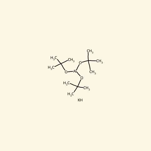 CC(C)(C)[O][Al]([O]C(C)(C)C)[O]C(C)(C)C.[KH]